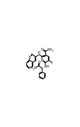 NC(=O)c1cc(F)c(N[C@@H](C(N)=O)c2ccccc2)nc1Nc1cnc2ccccc2c1